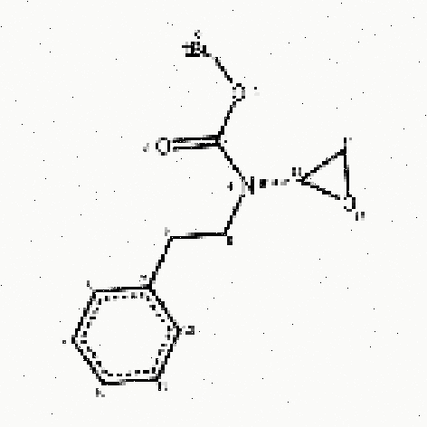 CC(C)(C)OC(=O)N(CCc1ccccc1)[C@@H]1CO1